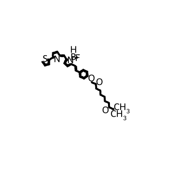 CC(C)C(=O)CCCCCCC(=O)COc1ccc(/C=C/c2ccc(/C=C3/C=CC(c4cccs4)=N3)n2BF)cc1